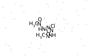 Cc1n[nH]c2nc(Cl)nc(NCCN(C)C=O)c12